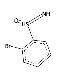 N=[SH](=O)c1ccccc1Br